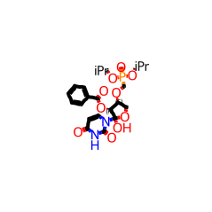 CC(C)OP(=O)(CO[C@H]1COC(O)(n2ccc(=O)[nH]c2=O)[C@@H]1OC(=O)c1ccccc1)OC(C)C